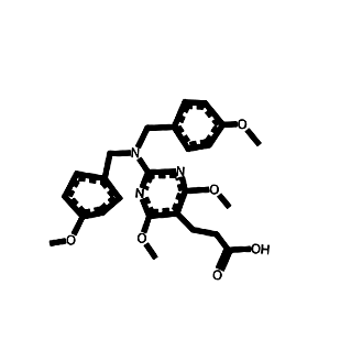 COc1ccc(CN(Cc2ccc(OC)cc2)c2nc(OC)c(CCC(=O)O)c(OC)n2)cc1